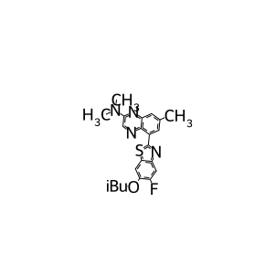 C[CH][C@H](C)Oc1cc2sc(-c3cc(C)cc4nc(N(C)C)cnc34)nc2cc1F